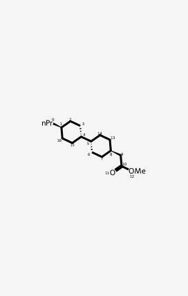 CCC[C@H]1CC[C@H]([C@H]2CC[C@H](CC(=O)OC)CC2)CC1